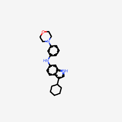 c1cc(Nc2ccc3c(C4CCCCC4)c[nH]c3c2)cc(N2CCOCC2)c1